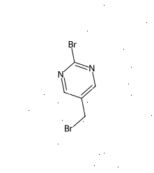 BrCc1cnc(Br)nc1